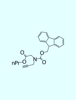 C#CCN(CC(=O)OCCC)C(=O)OCC1c2ccccc2-c2ccccc21